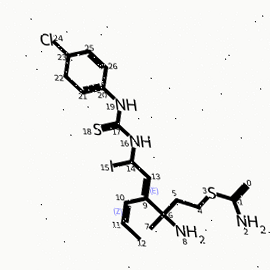 C=C(N)SCCC(C)(N)C(/C=C\C)=C/C(I)NC(=S)NC1=CCC(Cl)C=C1